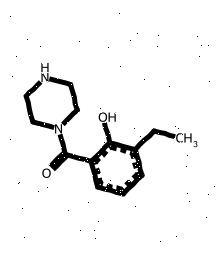 CCc1cccc(C(=O)N2CCNCC2)c1O